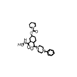 O=C(NO)C1CC(OC(=O)N2CCCCC2)CCC1C(=O)N1CCN(c2ccccc2)CC1